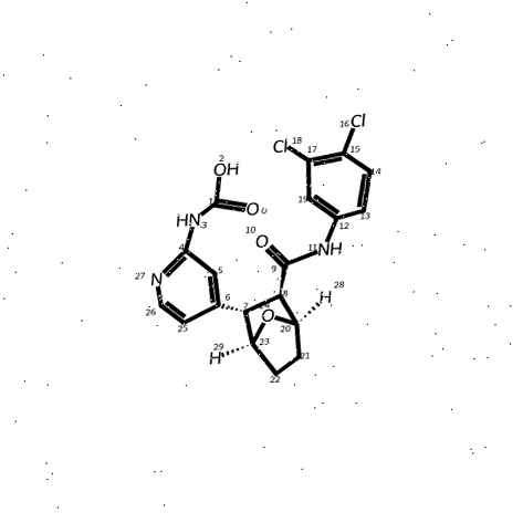 O=C(O)Nc1cc([C@@H]2[C@@H](C(=O)Nc3ccc(Cl)c(Cl)c3)[C@H]3CC[C@@H]2O3)ccn1